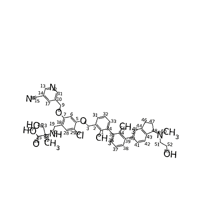 Cc1c(COc2cc(OCc3cncc(C#N)c3)c(CN[C@@](C)(CO)C(=O)O)cc2Cl)cccc1-c1cccc(-c2ccc3c(c2)CCC3N(C)CCO)c1C